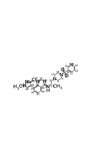 C[C@@H](CN1CCN(S(=O)(=O)c2cccnc2)CC1)Nc1ncnc2c(-c3cn(C)nc3C(F)(F)F)cccc12